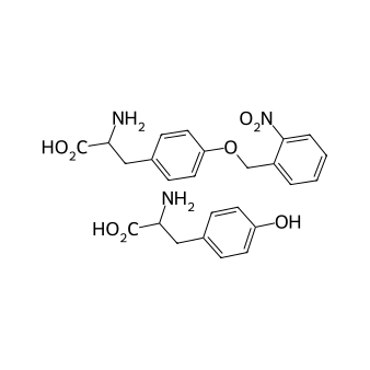 NC(Cc1ccc(O)cc1)C(=O)O.NC(Cc1ccc(OCc2ccccc2[N+](=O)[O-])cc1)C(=O)O